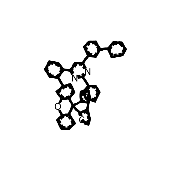 c1ccc(-c2cccc(-c3cc(-c4ccccc4-c4ccc5c(c4)Oc4ccccc4C54c5ccccc5-c5ccccc54)nc(-c4ccccc4)n3)c2)cc1